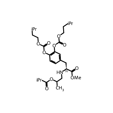 COC(=O)[C@H](Cc1ccc(OC(=O)OCCC(C)C)c(OC(=O)OCCC(C)C)c1)NCC(C)OC(=O)C(C)C